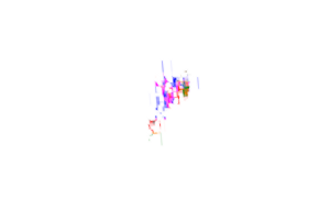 CNC(=O)CNCC[C@H](CSc1ccccc1)Nc1ccc(S(=O)(=O)NC(=O)c2ccc(N3CCC([C@@H](O)c4ccccc4-c4ccc(Cl)cc4)CC3)cc2)cc1S(=O)(=O)C(F)(F)F